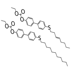 CCCCC=CCCSc1ccc(-c2ccc(OC(=O)OCC)cc2)cc1.CCCCCCCCCCCSc1ccc(-c2ccc(OC(=O)OCC)cc2)cc1